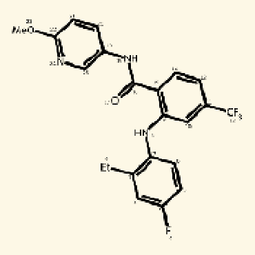 CCc1cc(F)ccc1Nc1cc(C(F)(F)F)ccc1C(=O)Nc1ccc(OC)nc1